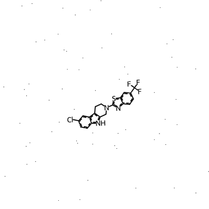 FC(F)(F)c1ccc2nc(N3CCc4c([nH]c5ccc(Cl)cc45)C3)sc2c1